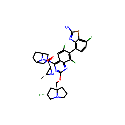 C[C@H]1N[C@@H]1C(=O)N1C2CCC1CN(c1nc(OC[C@@]34CCCN3C[C@H](F)C4)nc3c(F)c(-c4ccc(F)c5sc(N)nc45)c(Cl)cc13)C2